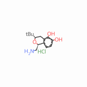 CC(C)(C)[C@H]1Cc2c(ccc(O)c2O)[C@@H](CN)O1.Cl